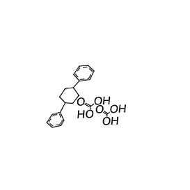 O=C(O)O.O=C(O)O.c1ccc(C2CCC(c3ccccc3)CC2)cc1